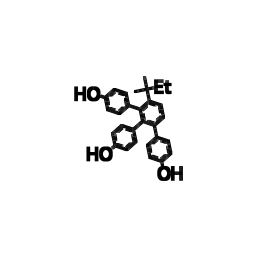 CCC(C)(C)c1ccc(-c2ccc(O)cc2)c(-c2ccc(O)cc2)c1-c1ccc(O)cc1